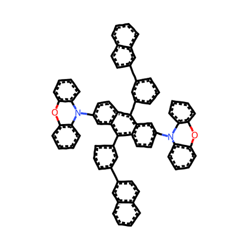 c1cc(-c2ccc3ccccc3c2)cc(-c2c3ccc(N4c5ccccc5Oc5ccccc54)cc3c(-c3cccc(-c4ccc5ccccc5c4)c3)c3ccc(N4c5ccccc5Oc5ccccc54)cc23)c1